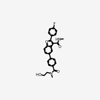 CNC(=O)c1c(-c2ccc(F)cc2)oc2ccc(-c3ccc(C(=O)N(C)CCO)cc3)cc12